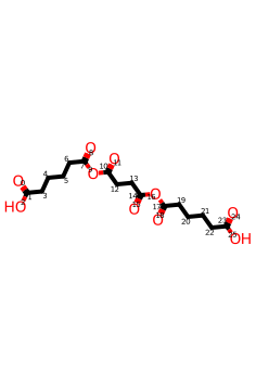 O=C(O)CCCCC(=O)OC(=O)CCC(=O)OC(=O)CCCCC(=O)O